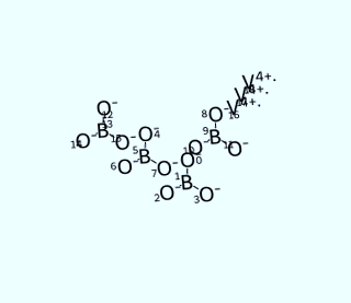 [O-]B([O-])[O-].[O-]B([O-])[O-].[O-]B([O-])[O-].[O-]B([O-])[O-].[V+4].[V+4].[V+4]